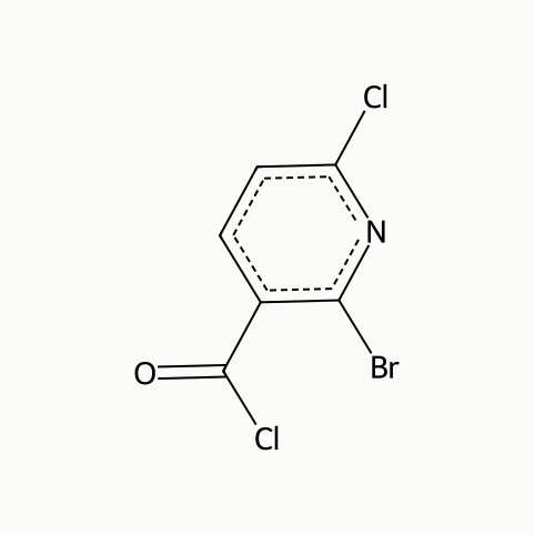 O=C(Cl)c1ccc(Cl)nc1Br